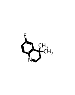 CC1(C)CC=Nc2ccc(F)cc21